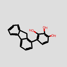 Oc1ccc(-c2cccc3c2Cc2ccccc2-3)c(O)c1O